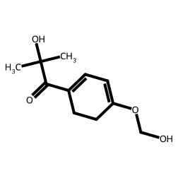 CC(C)(O)C(=O)C1=CC=C(OCO)CC1